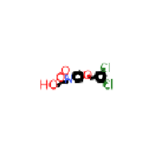 O=C1OC(CO)CN1c1ccc(OCc2cc(Cl)cc(Cl)c2)cc1